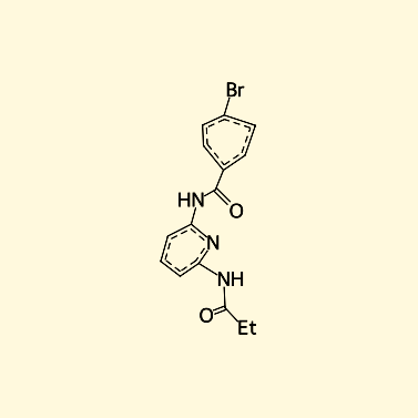 CCC(=O)Nc1cccc(NC(=O)c2ccc(Br)cc2)n1